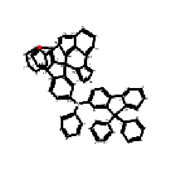 c1ccc(N(c2ccc3c(c2)C(c2ccccc2)(c2ccccc2)c2ccccc2-3)c2ccc3c(c2)C2(c4ccccc4-3)c3ccccc3-c3cccc4ccc(C5CCCCC5)c2c34)cc1